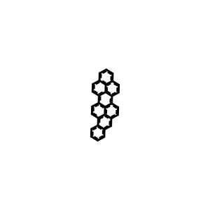 c1ccc2c(c1)cc1ccc3c4ccc5cccc6ccc(c7ccc2c1c37)c4c56